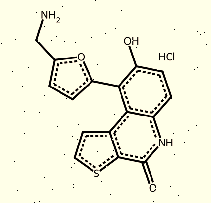 Cl.NCc1ccc(-c2c(O)ccc3[nH]c(=O)c4sccc4c23)o1